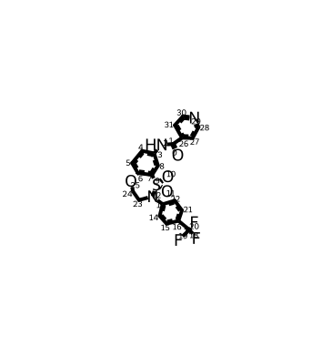 O=C(Nc1ccc2c(c1)S(=O)(=O)N(c1ccc(C(F)(F)F)cc1)CCO2)c1ccncc1